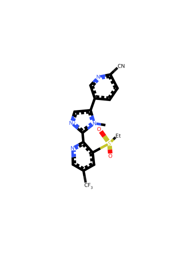 CCS(=O)(=O)c1cc(C(F)(F)F)cnc1-c1ncc(-c2ccc(C#N)nc2)n1C